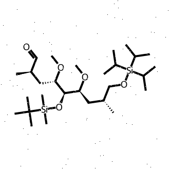 CO[C@@H](C[C@@H](C)CO[Si](C(C)C)(C(C)C)C(C)C)[C@@H](O[Si](C)(C)C(C)(C)C)[C@H](C[C@@H](C)C=O)OC